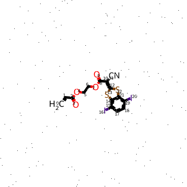 C=CC(=O)OCCOC(=O)C(C#N)=C1Sc2c(I)ccc(I)c2S1